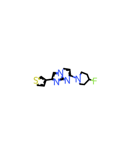 FC1CCN(c2ccn3cc(-c4ccsc4)nc3n2)CC1